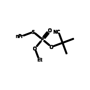 CCCSP(=O)(OCC)OC(C)(C)C#N